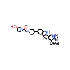 COc1cc(-c2[nH]c3ccc(C4CCN(CC(=O)N5CCC(O)C5)CC4)cc3c2C(C)C)cn2ncnc12